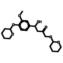 COc1cc(C(O)CC(=O)COC2CCCCO2)ccc1OC1CCCCO1